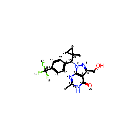 Cc1nc2c(c(CO)nn2[C@H](c2ccc(C(F)(F)F)cc2)C2(C)CC2)c(=O)[nH]1